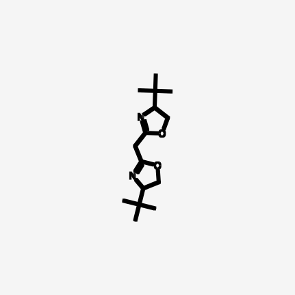 CC(C)(C)C1COC(CC2=NC(C(C)(C)C)CO2)=N1